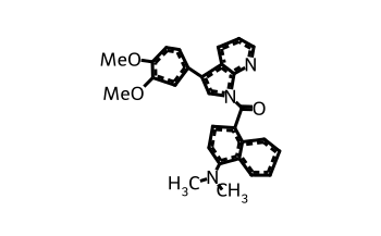 COc1ccc(-c2cn(C(=O)c3ccc(N(C)C)c4ccccc34)c3ncccc23)cc1OC